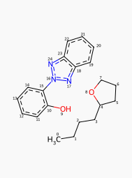 CCCCC1CCCO1.Oc1ccccc1-n1nc2ccccc2n1